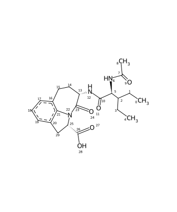 CCC(CC)[C@H](NC(C)=O)C(=O)N[C@H]1CCc2cccc3c2N(C1=O)[C@H](C(=O)O)C3